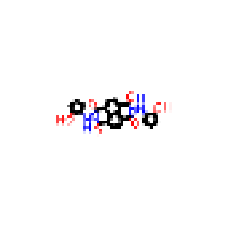 O=C1c2ccc3c4c(ccc(c24)C(=O)N1NC1CCCC1O)C(=O)N(NC1CCCC1O)C3=O